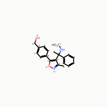 [CH2]C(NC(=O)O)(c1ccccc1)c1c(C)noc1-c1ccc(CO)cc1